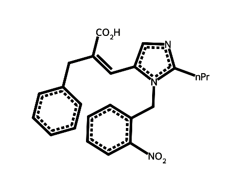 CCCc1ncc(C=C(Cc2ccccc2)C(=O)O)n1Cc1ccccc1[N+](=O)[O-]